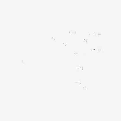 CCCC[C@@H](C(=O)C(=O)Nc1ccn[nH]1)N(C(=O)O)[C@H](Cn1cnc(-c2ccc(C(F)(F)F)cc2)c1)C(C)(C)C